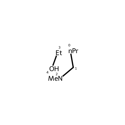 CCCCNC.CCO